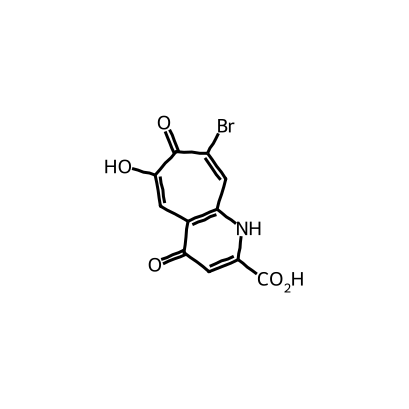 O=C(O)c1cc(=O)c2cc(O)c(=O)c(Br)cc2[nH]1